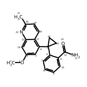 COc1cc(C2(c3ccccc3C(N)=O)CC2)c2ccc(C)nc2c1